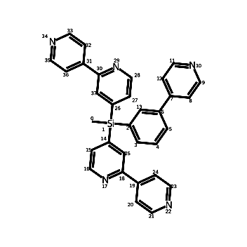 C[Si](c1cccc(-c2ccncc2)c1)(c1ccnc(-c2ccncc2)c1)c1ccnc(-c2ccncc2)c1